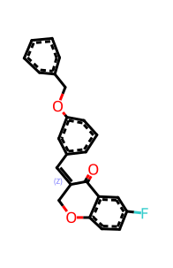 O=C1/C(=C\c2cccc(OCc3ccccc3)c2)COc2ccc(F)cc21